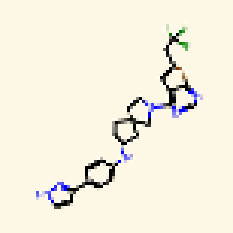 FC(F)(F)Cc1cc2c(N3CC[C@@]4(CC[C@H](Nc5ccc(-c6cc[nH]n6)cc5)C4)C3)ncnc2s1